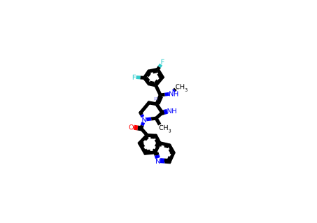 CN/C(=C1/CCN(C(=O)c2ccc3ncccc3c2)C(C)C1=N)c1cc(F)cc(F)c1